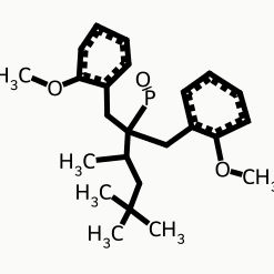 COc1ccccc1CC(Cc1ccccc1OC)(P=O)C(C)CC(C)(C)C